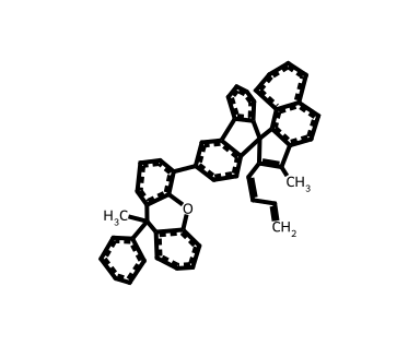 C=C/C=C\C1=C(C)c2ccc3ccccc3c2C12c1ccccc1-c1cc(-c3cccc4c3Oc3ccccc3C4(C)c3ccccc3)ccc12